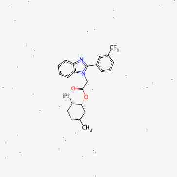 CC1CCC(C(C)C)[C@H](OC(=O)Cn2c(-c3cccc(C(F)(F)F)c3)nc3ccccc32)C1